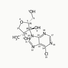 C[C@]1(O)CO[C@H](CO)[C@]1(O)n1cnc2c(Cl)ncnc21